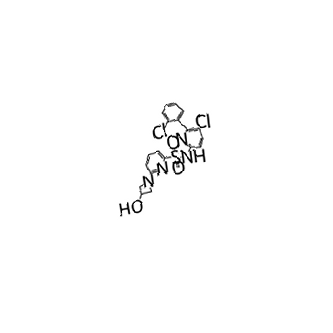 O=S(=O)(Nc1ccc(Cl)c(-c2ccccc2Cl)n1)c1cccc(N2CC(O)C2)n1